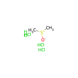 C[S+](C)[O-].Cl.Cl.Cl.Cl